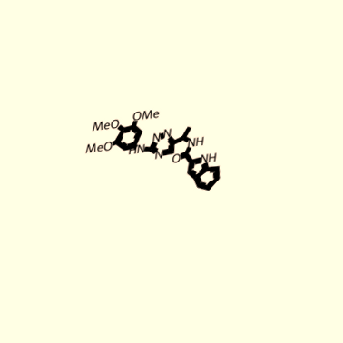 COc1cc(Nc2ncc(C(C)NC(=O)c3cc4ccccc4[nH]3)nn2)cc(OC)c1OC